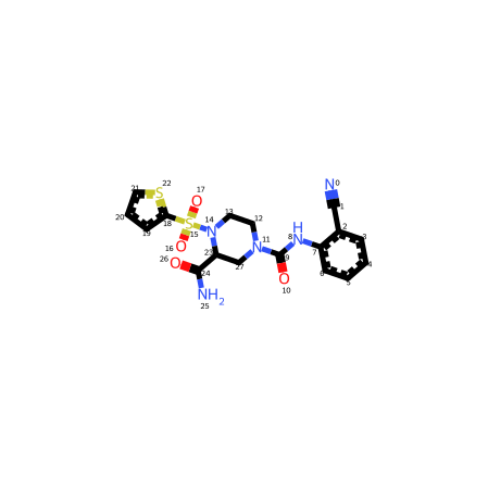 N#Cc1ccccc1NC(=O)N1CCN(S(=O)(=O)c2cccs2)C(C(N)=O)C1